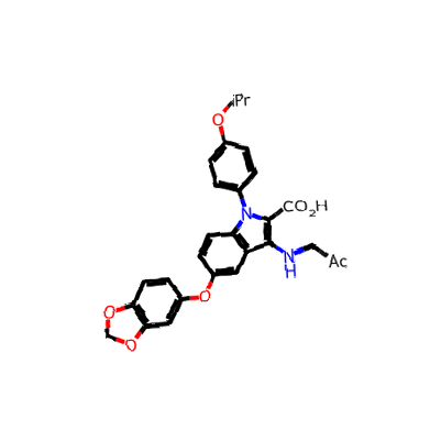 CC(=O)CNc1c(C(=O)O)n(-c2ccc(OC(C)C)cc2)c2ccc(Oc3ccc4c(c3)OCO4)cc12